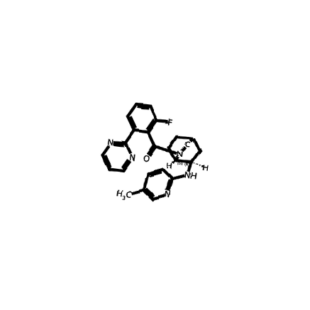 Cc1ccc(N[C@@H]2CC3CC[C@@H]2N(C(=O)c2c(F)cccc2-c2ncccn2)C3)nc1